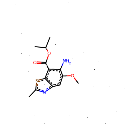 COc1cc2nc(C)sc2c(C(=O)OC(C)C)c1N